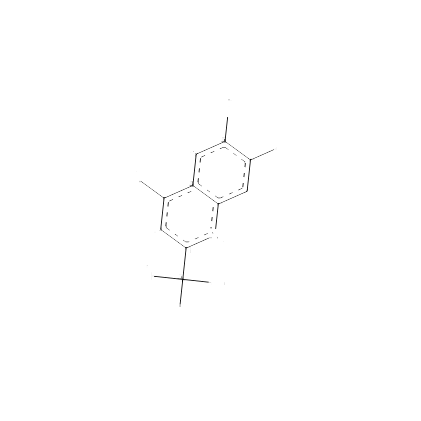 Clc1cc2nc(C(Cl)(Cl)Cl)cc(Cl)c2cc1Cl